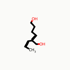 C/C=C\C(=C/CCCO)CO